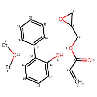 C=CC(=O)OCC1CO1.CCOCC.Oc1ccccc1-c1ccccc1